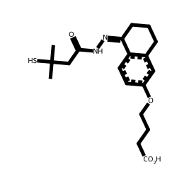 CC(C)(S)CC(=O)N/N=C1/CCCc2cc(OCCCC(=O)O)ccc21